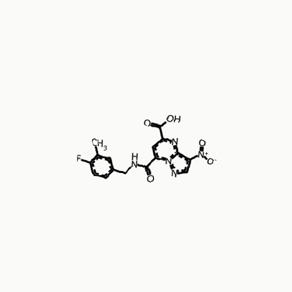 Cc1cc(CNC(=O)c2cc(C(=O)O)nc3c([N+](=O)[O-])cnn23)ccc1F